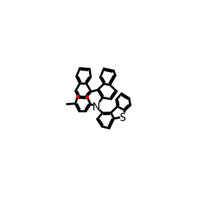 Cc1ccc(N(c2ccc3ccccc3c2-c2cccc3ccccc23)c2cccc3sc4ccccc4c23)cc1